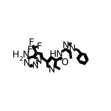 Cc1ncc(-c2cc(C(F)(F)F)c3c(N)ncnn23)cc1C(=O)Nc1ncn(Cc2ccccc2)c1C